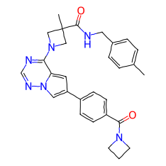 Cc1ccc(CNC(=O)C2(C)CN(c3ncnn4cc(-c5ccc(C(=O)N6CCC6)cc5)cc34)C2)cc1